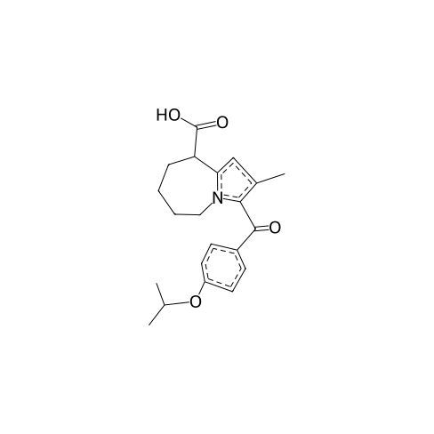 Cc1cc2n(c1C(=O)c1ccc(OC(C)C)cc1)CCCCC2C(=O)O